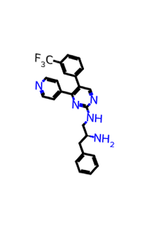 N[C@H](CNc1ncc(-c2cccc(C(F)(F)F)c2)c(-c2ccncc2)n1)Cc1ccccc1